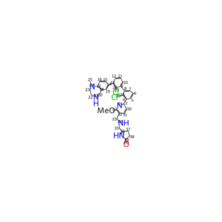 COc1nc(-c2cccc(-c3cccc(-c4ccc5c(c4)CNCCN5C)c3Cl)c2Cl)ccc1CNCC1CCC(=O)N1